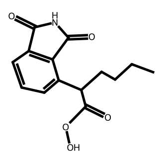 CCCCC(C(=O)OO)c1cccc2c1C(=O)NC2=O